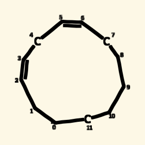 [CH]1CC=CCC=CCCCCC1